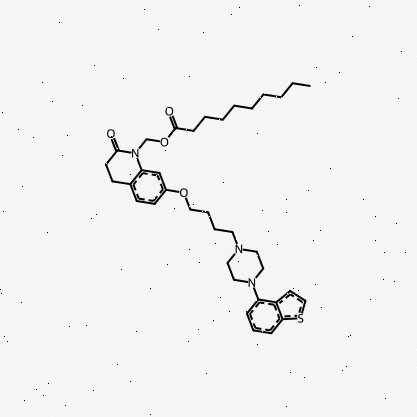 CCCCCCCCCC(=O)OCN1C(=O)CCc2ccc(OCCCCN3CCN(c4cccc5sccc45)CC3)cc21